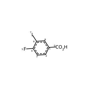 O=C(O)c1ccc(F)c(I)c1